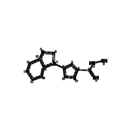 N=C(NO)c1cc(-n2cnc3ccccc32)cs1